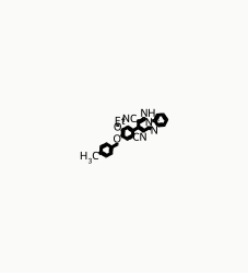 CCOc1cc(-c2c(C#N)c(N)n3c(nc4ccccc43)c2C#N)ccc1OCc1ccc(C)cc1